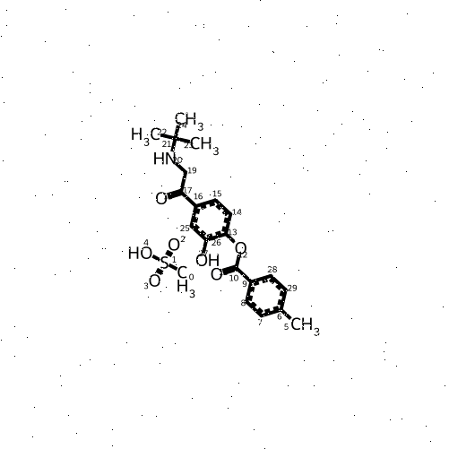 CS(=O)(=O)O.Cc1ccc(C(=O)Oc2ccc(C(=O)CNC(C)(C)C)cc2O)cc1